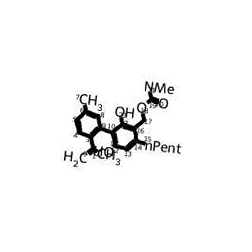 C=C(C)c1ccc(C)cc1-c1c(O)cc(CCCCC)c(COC(=O)NC)c1O